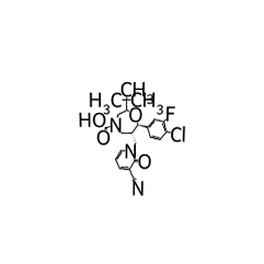 CC(C)(C)C1CN(C(=O)O)C[C@@H](Cn2cccc(C#N)c2=O)[C@H](c2ccc(Cl)c(F)c2)O1